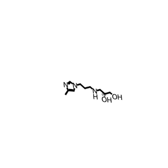 Cc1cn(CCCNC[C@@H](O)CO)cn1